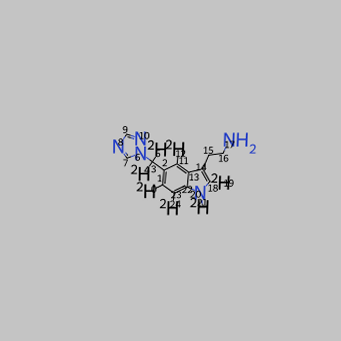 [2H]c1c(C([2H])([2H])n2cncn2)c([2H])c2c(CCN)c([2H])n([2H])c2c1[2H]